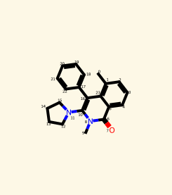 Cc1cccc2c(=O)n(C)c(N3CCCC3)c(-c3ccccc3)c12